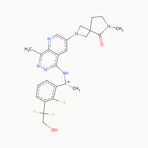 Cc1nnc(N[C@H](C)c2cccc(C(F)(F)CO)c2F)c2cc(N3CC4(CCN(C)C4=O)C3)cnc12